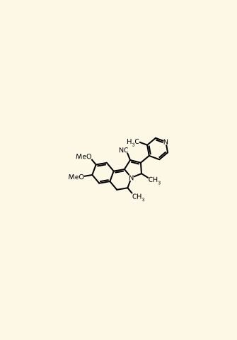 COC1=CC2=C3C(C#N)=C(c4ccncc4C)C(C)N3C(C)CC2=CC1OC